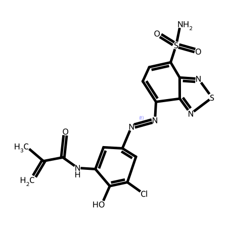 C=C(C)C(=O)Nc1cc(/N=N/c2ccc(S(N)(=O)=O)c3nsnc23)cc(Cl)c1O